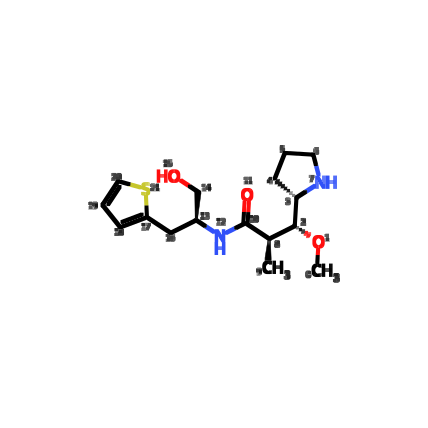 CO[C@@H]([C@@H]1CCCN1)[C@@H](C)C(=O)N[C@H](CO)Cc1cccs1